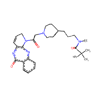 CCCC(C)(C)C(=O)N(CC)CCCC1CCN(CC(=O)N2CC=Cc3nc(=O)c4ccccc4nc32)CC1